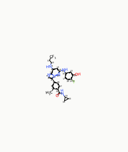 Cc1cc(-c2cnc3c(NCCC(F)(F)F)cc(Nc4ccc(F)c(O)c4)nn23)ccc1C(=O)NC1CC1